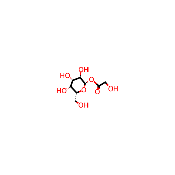 O=C(CO)O[C@@H]1O[C@H](CO)[C@H](O)[C@H](O)[C@H]1O